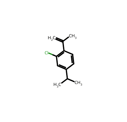 C=C(C)c1ccc(C(C)C)cc1Cl